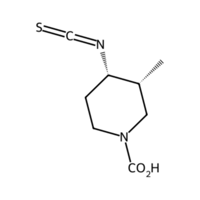 C[C@@H]1CN(C(=O)O)CC[C@@H]1N=C=S